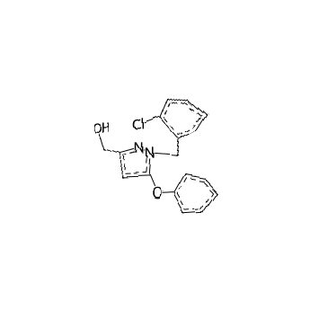 OCc1cc(Oc2ccccc2)n(Cc2ccccc2Cl)n1